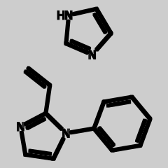 C=Cc1nccn1-c1ccccc1.c1c[nH]cn1